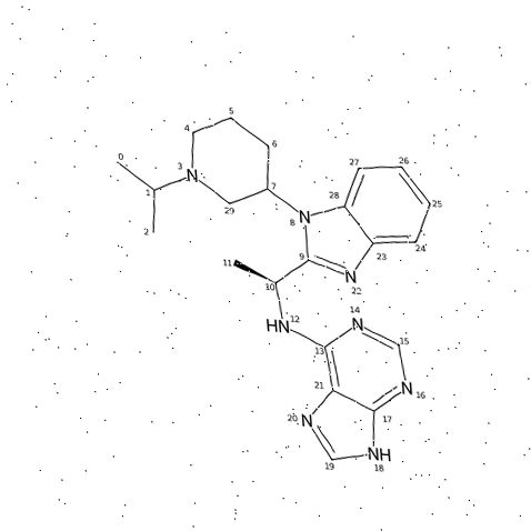 CC(C)N1CCCC(n2c([C@H](C)Nc3ncnc4[nH]cnc34)nc3ccccc32)C1